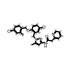 Cc1cc(NC(=O)Cc2ccccn2)nn1Cc1cc(Cl)ccc1OCc1ccc(Cl)cc1F